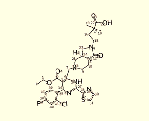 CCOC(=O)C1=C(CN2CCN3C(=O)N(CCC(C)(C)C(=O)O)C[C@@H]3C2)NC(c2nccs2)=N[C@H]1c1ccc(F)cc1Cl